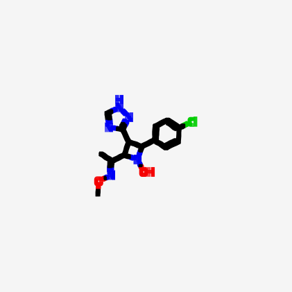 CON=C(C)C1C(c2nc[nH]n2)C(c2ccc(Cl)cc2)N1O